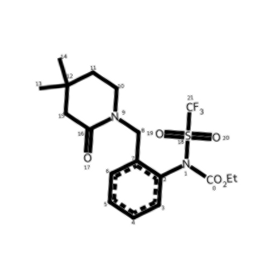 CCOC(=O)N(c1ccccc1CN1CCC(C)(C)CC1=O)S(=O)(=O)C(F)(F)F